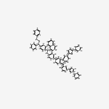 c1ccc(CCC(c2ccccc2)c2ccc(C(Cc3ccc(-c4ccc5c(c4)c4cc(-c6ccc(-c7ccccc7)s6)ccc4n5-c4cccc(-c5ccc(-c6ccccc6)s5)c4)cc3)c3cccc4ccccc34)cc2)cc1